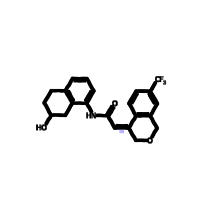 O=C(/C=C1/COCc2cc(C(F)(F)F)ccc21)Nc1cccc2c1CC(O)CC2